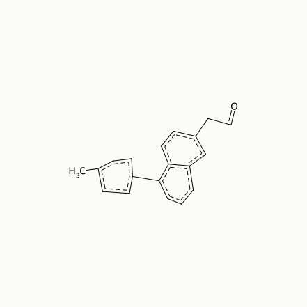 Cc1ccc(-c2cccc3cc(CC=O)ccc23)cc1